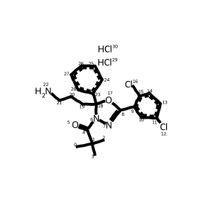 CC(C)(C)C(=O)N1N=C(c2cc(Cl)ccc2Cl)OC1(CCCN)c1ccccc1.Cl.Cl